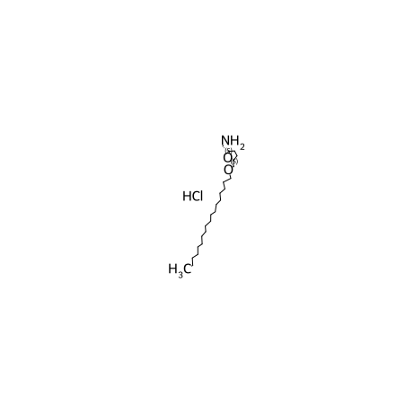 CCCCCCCCCCCCCCCCCCOC[C@@H]1CC[C@@H](CN)O1.Cl